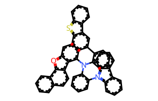 c1ccc(N(c2ccccc2-n2c3ccccc3c3ccccc32)c2cccc3oc4c5ccccc5ccc4c23)c(-c2ccc3sc4ccccc4c3c2)c1